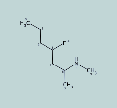 CCCC(F)CC(C)NC